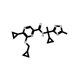 Cc1nc(C(C)(NC(=O)c2cnc(C3CC3)c(OCC3CC3)n2)C2CC2)no1